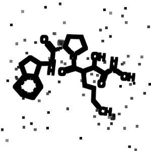 CCCCC(C(=O)N1CCC[C@H]1C(=O)NC1CCc2ccccc21)C(O)C(=O)NO